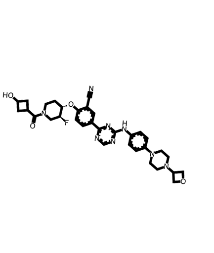 N#Cc1cc(-c2ncnc(Nc3ccc(N4CCN(C5COC5)CC4)cc3)n2)ccc1O[C@H]1CCN(C(=O)C2CC(O)C2)C[C@@H]1F